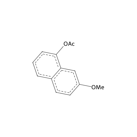 COc1ccc2cccc(OC(C)=O)c2c1